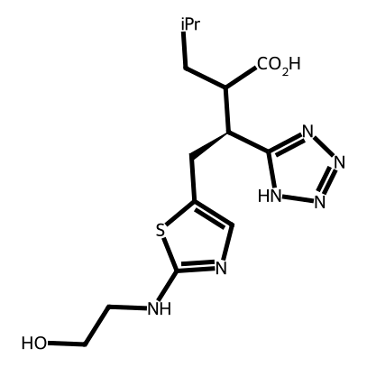 CC(C)CC(C(=O)O)[C@H](Cc1cnc(NCCO)s1)c1nnn[nH]1